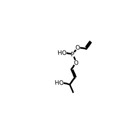 C=COP(O)OC=CC(C)O